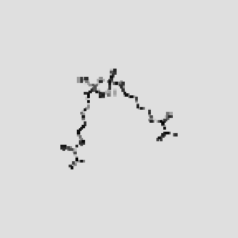 C=C(C)C(=O)OCCCCOP(=O)(O)OP(=O)(O)OCCCCOC(=O)C(=C)C